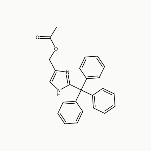 CC(=O)OCc1c[nH]c(C(c2ccccc2)(c2ccccc2)c2ccccc2)n1